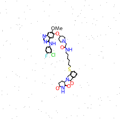 COc1cc2ncnc(Nc3ccc(F)c(Cl)c3)c2cc1OC1CCN(CC(=O)NCCCCCCSc2cccc3c2CN(C2CCC(=O)NC2=O)C3=O)CC1